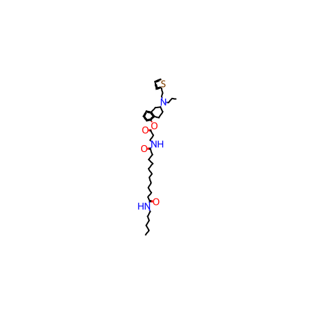 CCCCCCNC(=O)CCCCCCCCCCC(=O)NCCC(=O)Oc1cccc2c1CC[C@@H](N(CCC)CCc1cccs1)C2